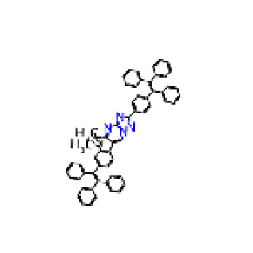 C[Si]1(C)c2cc(C(=C(c3ccccc3)c3ccccc3)c3ccccc3)ccc2-c2cn3nc(-c4ccc(C(=C(c5ccccc5)c5ccccc5)c5ccccc5)cc4)nc3nc21